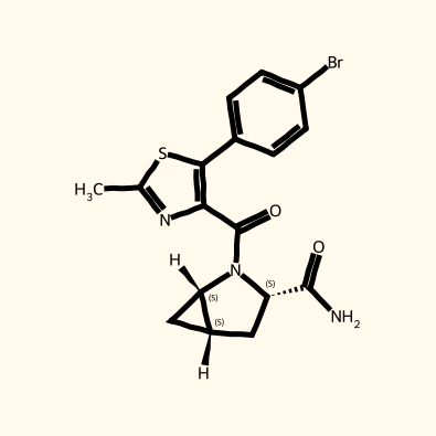 Cc1nc(C(=O)N2[C@H](C(N)=O)C[C@@H]3C[C@@H]32)c(-c2ccc(Br)cc2)s1